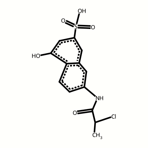 CC(Cl)C(=O)Nc1ccc2c(O)cc(S(=O)(=O)O)cc2c1